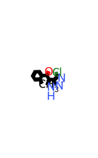 Cc1ccccc1C(=O)c1c[nH]c2ncnc(Cl)c12